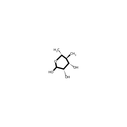 C[C@H]1[C@H](O)[C@H](O)C(O)O[C@@H]1C